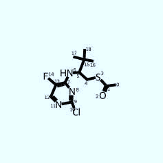 CC(=O)SCC(Nc1nc(Cl)ncc1F)C(C)(C)C